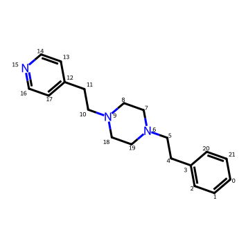 c1ccc(CCN2CCN(CCc3ccncc3)CC2)cc1